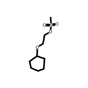 CS(=O)(=O)OCCOC1CCCCC1